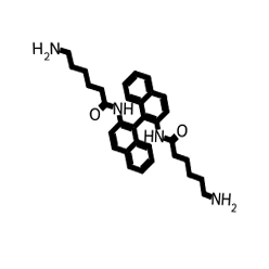 NCCCCCC(=O)Nc1ccc2ccccc2c1-c1c(NC(=O)CCCCCN)ccc2ccccc12